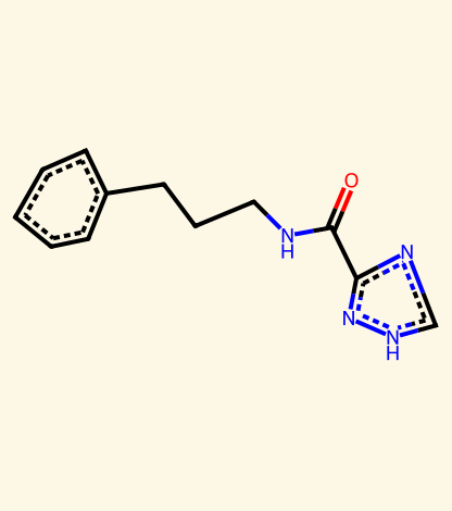 O=C(NCCCc1ccccc1)c1nc[nH]n1